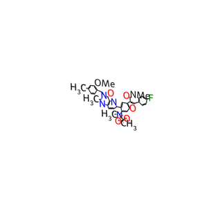 CNC(=O)c1c(-c2ccc(F)cc2)oc2cc(N(C)S(C)(=O)=O)c(-c3ccc4nc(C)n(Cc5ccc(C)cc5OC)c(=O)c4n3)cc12